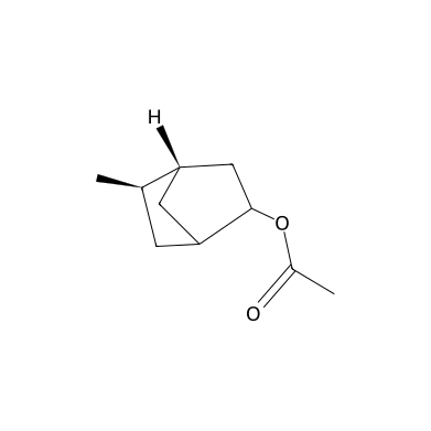 CC(=O)OC1C[C@@H]2CC1C[C@H]2C